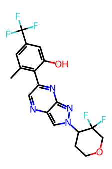 Cc1cc(C(F)(F)F)cc(O)c1-c1cnc2cn(C3CCOCC3(F)F)nc2n1